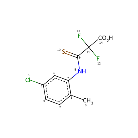 Cc1ccc(Cl)cc1NC(=S)C(F)(F)C(=O)O